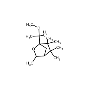 COC(C)(C)C12CC(C(C)O1)C(C)(C)C2(C)C